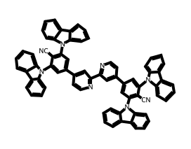 N#Cc1c(-n2c3ccccc3c3ccccc32)cc(-c2ccnc(-c3cc(-c4cc(-n5c6ccccc6c6ccccc65)c(C#N)c(-n5c6ccccc6c6ccccc65)c4)ccn3)c2)cc1-n1c2ccccc2c2ccccc21